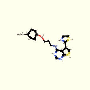 CC(=O)Nc1ccc(OCCCNc2ncnc3scc(-c4nccs4)c23)cc1